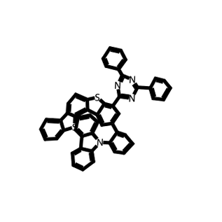 c1ccc(-c2nc(-c3ccccc3)nc(-c3cc(-c4ccccc4-n4c5ccccc5c5ccccc54)cc4c3sc3ccc5c6ccccc6sc5c34)n2)cc1